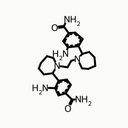 NC(=O)c1ccc(C2CCCCCN2CCN2CCCCCC2c2ccc(C(N)=O)cc2N)c(N)c1